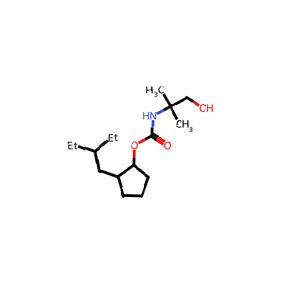 CCC(CC)CC1CCCC1OC(=O)NC(C)(C)CO